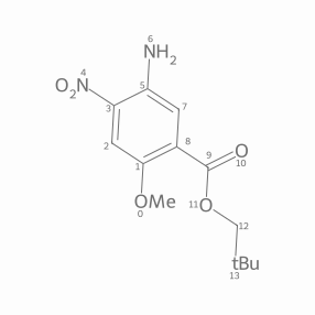 COc1cc([N+](=O)[O-])c(N)cc1C(=O)OCC(C)(C)C